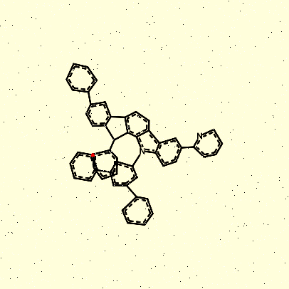 c1ccc(-c2cc(-c3ccccc3)cc(-n3c4ccc(-c5ccccn5)cc4c4ccc5c(c43)C(c3ccccc3)c3ccc(-c4ccccc4)cc3-5)c2)cc1